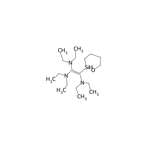 CCN(CC)C(=C(N(CC)CC)[SiH]1CCCCO1)N(CC)CC